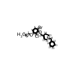 COCOc1ccc(Br)c(OCC2=CCN(Cc3ccccc3)CC2)c1Cl